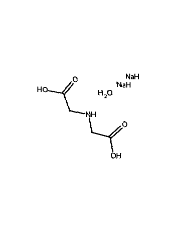 O.O=C(O)CNCC(=O)O.[NaH].[NaH]